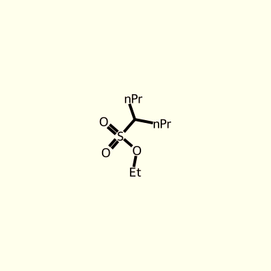 CCCC(CCC)S(=O)(=O)OCC